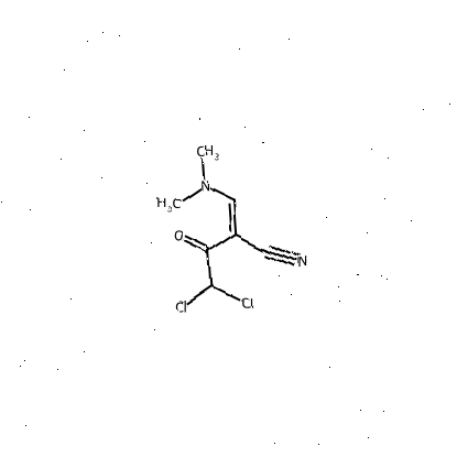 CN(C)C=C(C#N)C(=O)C(Cl)Cl